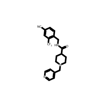 N#Cc1ccc(CNC(=O)C2CCN(Cc3ccncc3)CC2)c(C(F)(F)F)c1